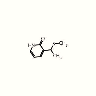 CSC(C)c1ccc[nH]c1=O